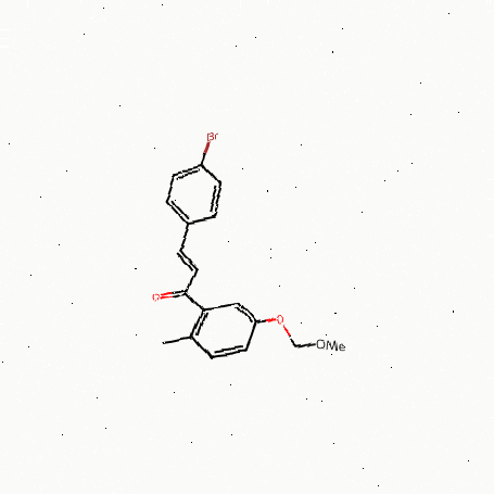 COCOc1ccc(C)c(C(=O)/C=C/c2ccc(Br)cc2)c1